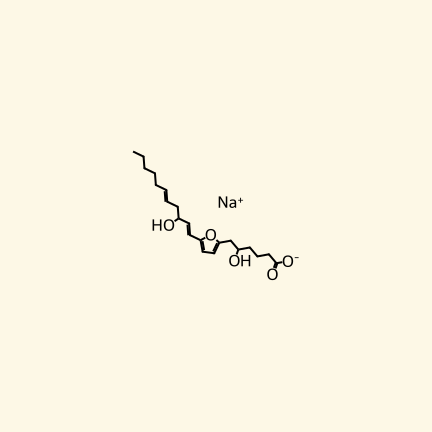 CCCCCC=CCC(O)C=Cc1ccc(CC(O)CCCC(=O)[O-])o1.[Na+]